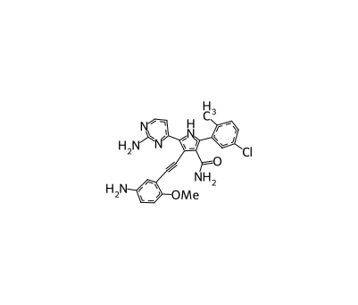 COc1ccc(N)cc1C#Cc1c(-c2ccnc(N)n2)[nH]c(-c2cc(Cl)ccc2C)c1C(N)=O